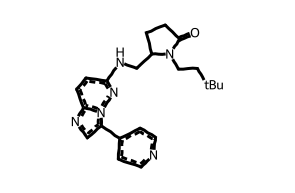 CC(C)(C)CCN1C(=O)CCC1CNc1ccc2ncc(-c3ccncc3)n2n1